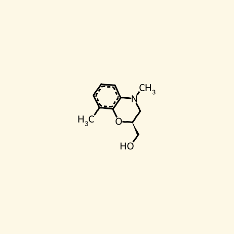 Cc1cccc2c1O[C@H](CO)CN2C